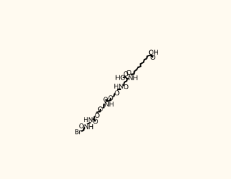 O=C(O)CCCCCCCCCCC(=O)NC(CCC(=O)NCCOCCOCC(=O)NCCOCCOCC(=O)NCCNC(=O)CBr)C(=O)O